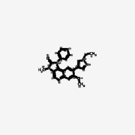 CCn1cc(-c2cc3c(cc2OC)ncc2c3n(-c3ccncc3)c(=O)n2C)cn1